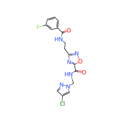 O=C(NCCc1noc(C(=O)NCn2cc(Cl)cn2)n1)c1cccc(F)c1